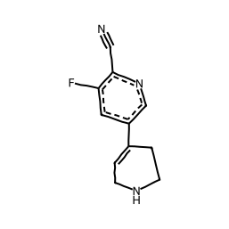 N#Cc1ncc(C2=CCNCC2)cc1F